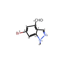 Cn1ncc2c([C]=O)cc(Br)cc21